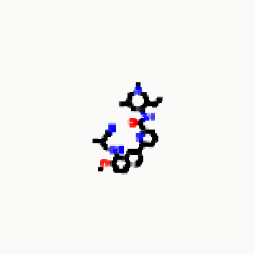 C=C(C#N)CNc1c(OC)ccc2ccc(-c3cccc(C(=O)NC4CC(C)CN(C)CC4CC)n3)cc12